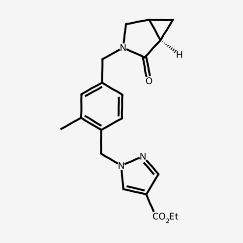 CCOC(=O)c1cnn(Cc2ccc(CN3CC4C[C@H]4C3=O)cc2C)c1